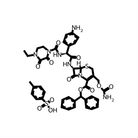 CCN1CCN(C(=O)N[C@H](C(=O)N[C@@H]2C(=O)N3C(C(=O)OC(c4ccccc4)c4ccccc4)=C(COC(N)=O)CS[C@@H]23)c2ccc(N)cc2)C(=O)C1=O.Cc1ccc(S(=O)(=O)O)cc1